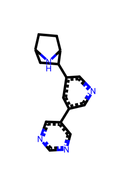 c1ncc(-c2cncc(C3CC4CCC3N4)c2)cn1